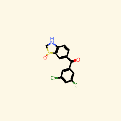 O=C(c1cc(Cl)cc(Cl)c1)c1ccc2c(c1)[S+]([O-])CN2